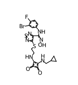 O=c1c(NCCSc2nsnc2/C(=N\O)Nc2ccc(F)c(Br)c2)c(NCC2CC2)c1=O